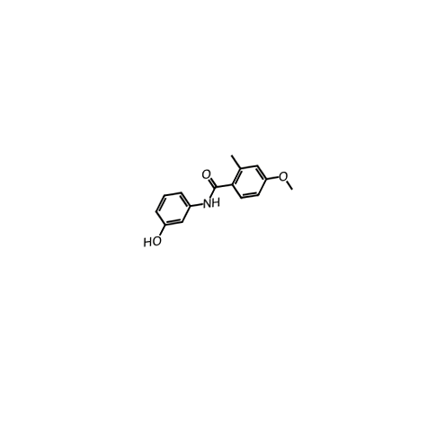 COc1ccc(C(=O)Nc2cccc(O)c2)c(C)c1